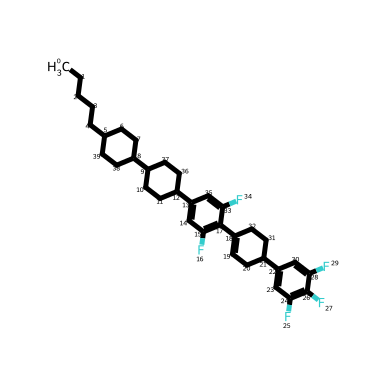 CCCCCC1CCC(C2CCC(c3cc(F)c(C4=CCC(c5cc(F)c(F)c(F)c5)CC4)c(F)c3)CC2)CC1